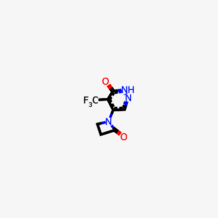 O=C1CCN1c1cn[nH]c(=O)c1C(F)(F)F